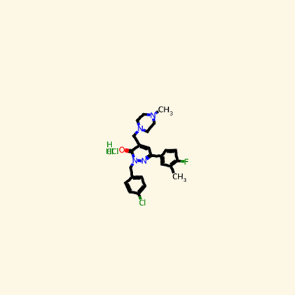 Cc1cc(-c2cc(CN3CCN(C)CC3)c(=O)n(Cc3ccc(Cl)cc3)n2)ccc1F.Cl.Cl